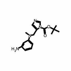 CN(Cc1cncn1C(=O)OC(C)(C)C)c1cccc(N)c1